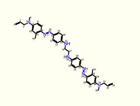 C=CCN(C)c1ccc(/N=N/c2ccc(NCCNc3ccc(/N=N/c4ccc(N(C)CC=C)cc4C)cc3)cc2)c(C)c1